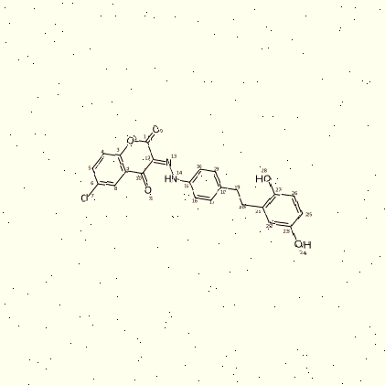 O=C1Oc2ccc(Cl)cc2C(=O)C1=NNc1ccc(CCc2cc(O)ccc2O)cc1